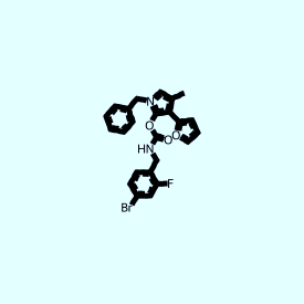 Cc1cn(Cc2ccccc2)c(OC(=O)NCc2ccc(Br)cc2F)c1-c1ccco1